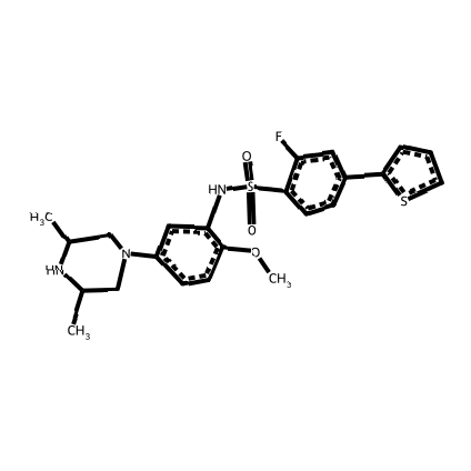 COc1ccc(N2CC(C)NC(C)C2)cc1NS(=O)(=O)c1ccc(-c2cccs2)cc1F